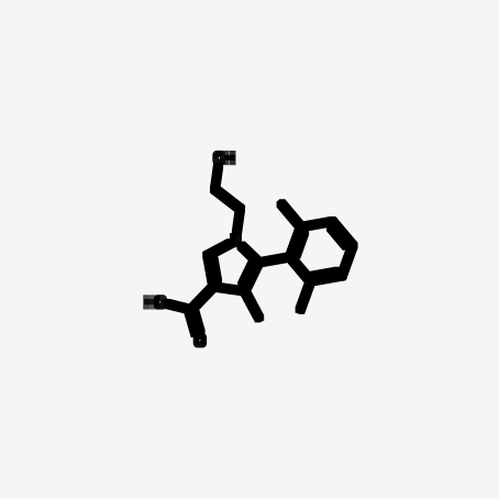 Cc1cccc(C)c1-c1c(C)c(C(=O)O)cn1CCO